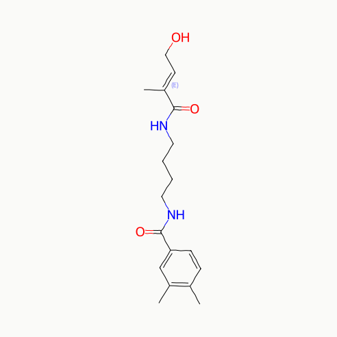 C/C(=C\CO)C(=O)NCCCCNC(=O)c1ccc(C)c(C)c1